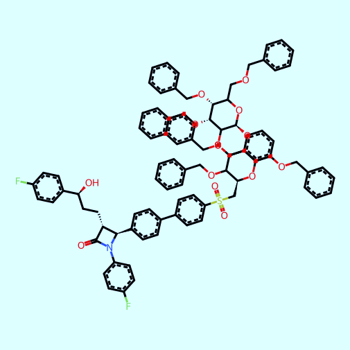 O=C1[C@H](CC[C@H](O)c2ccc(F)cc2)[C@@H](c2ccc(-c3ccc(S(=O)(=O)C[C@@H]4OC(COCc5ccccc5)[C@@H](O[C@@H]5OC(COCc6ccccc6)[C@@H](OCc6ccccc6)[C@@H](OCc6ccccc6)C5OCc5ccccc5)[C@@H](OCc5ccccc5)C4OCc4ccccc4)cc3)cc2)N1c1ccc(F)cc1